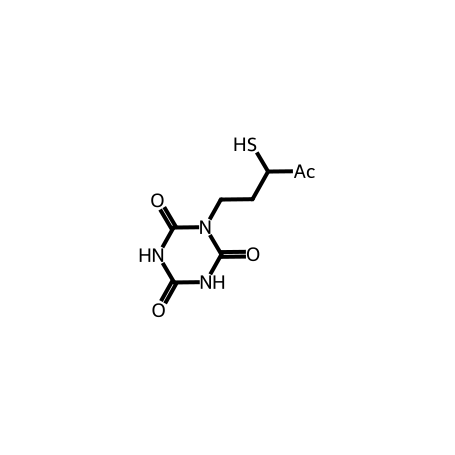 CC(=O)C(S)CCn1c(=O)[nH]c(=O)[nH]c1=O